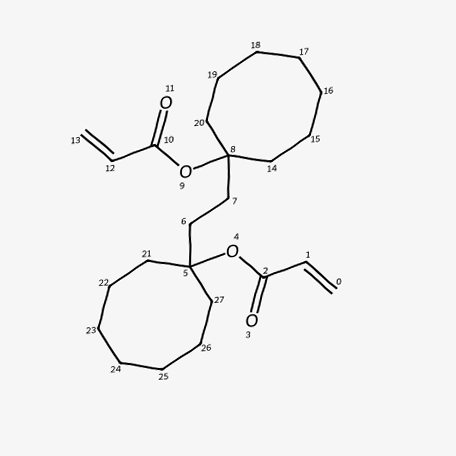 C=CC(=O)OC1(CCC2(OC(=O)C=C)CCCCCCC2)CCCCCCC1